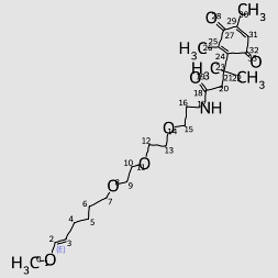 CO/C=C/CCCCOCCOCCOCCNC(=O)CC(C)(C)C1=C(C)C(=O)C(C)=CC1=O